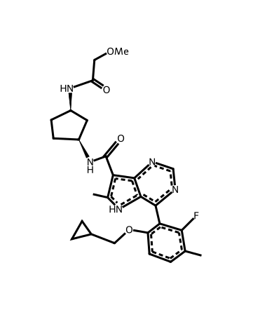 COCC(=O)N[C@@H]1CC[C@H](NC(=O)c2c(C)[nH]c3c(-c4c(OCC5CC5)ccc(C)c4F)ncnc23)C1